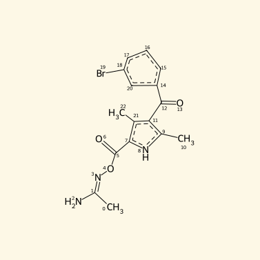 C/C(N)=N\OC(=O)c1[nH]c(C)c(C(=O)c2cccc(Br)c2)c1C